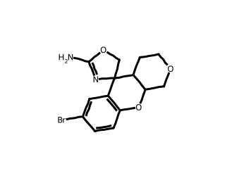 NC1=NC2(CO1)c1cc(Br)ccc1OC1COCCC12